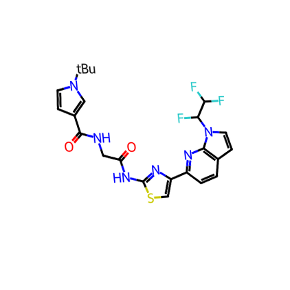 CC(C)(C)n1ccc(C(=O)NCC(=O)Nc2nc(-c3ccc4ccn(C(F)C(F)F)c4n3)cs2)c1